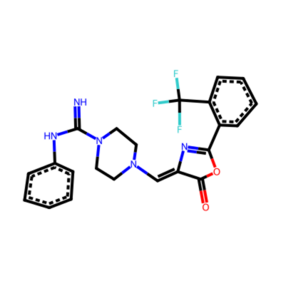 N=C(Nc1ccccc1)N1CCN(/C=C2\N=C(c3ccccc3C(F)(F)F)OC2=O)CC1